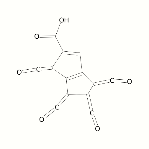 O=C=C1C(=C=O)C2=C(C1=C=O)C(=C=O)C(C(=O)O)=C2